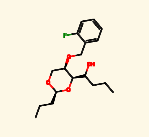 CCCC(O)[C@H]1O[C@@H](CCC)OC[C@H]1OCc1ccccc1F